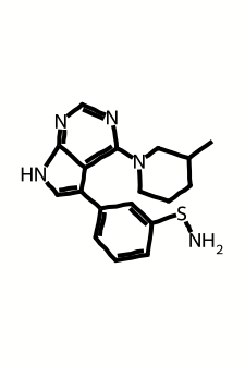 CC1CCCN(c2ncnc3[nH]cc(-c4cccc(SN)c4)c23)C1